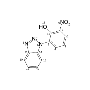 O=[N+]([O-])c1cccc(-n2nnc3ccccc32)c1O